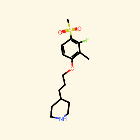 Cc1c(OCCCC2CCNCC2)ccc(S(C)(=O)=O)c1F